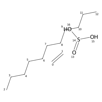 C=C.CCCCCCCCCCC.O=S(O)O